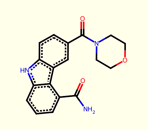 NC(=O)c1cccc2[nH]c3ccc(C(=O)N4CCOCC4)cc3c12